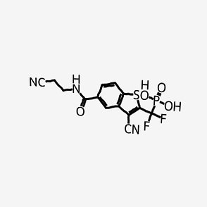 N#CCCNC(=O)c1ccc2sc(C(F)(F)P(=O)(O)O)c(C#N)c2c1